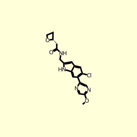 COc1cnc(-c2cc3[nH]c(CNC(=O)C[C@H]4CCO4)cc3cc2Cl)cn1